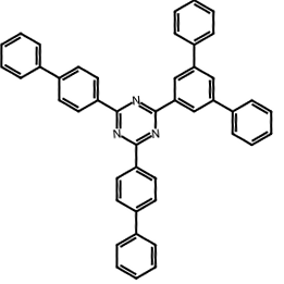 c1ccc(-c2ccc(-c3nc(-c4ccc(-c5ccccc5)cc4)nc(-c4cc(-c5ccccc5)cc(-c5ccccc5)c4)n3)cc2)cc1